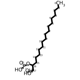 CCCCCCCCCCCCCCCCC(CO)OP(=O)(O)O